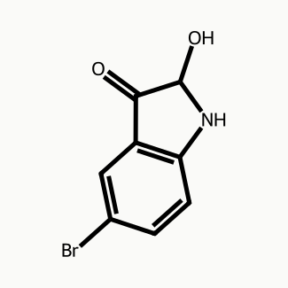 O=C1c2cc(Br)ccc2NC1O